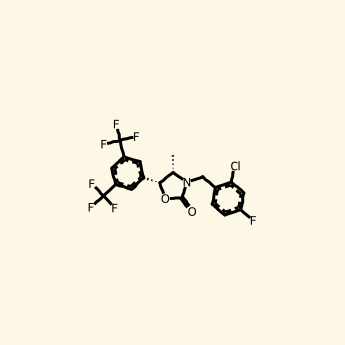 C[C@H]1[C@@H](c2cc(C(F)(F)F)cc(C(F)(F)F)c2)OC(=O)N1Cc1ccc(F)cc1Cl